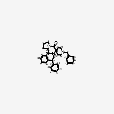 O=C1C2CCCN2C(=O)C2(CCN(Cc3ccccc3)CC2)N1CC(c1ccccc1)c1ccccc1